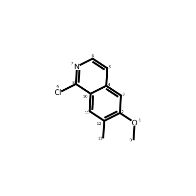 COc1cc2ccnc(Cl)c2cc1C